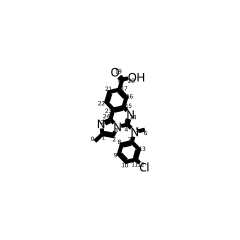 Cc1cn2c(N(C)c3cccc(Cl)c3)nc3cc(C(=O)O)ccc3c2n1